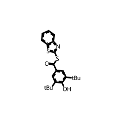 CC(C)(C)c1cc(C(=O)Sc2nc3ccccc3s2)cc(C(C)(C)C)c1O